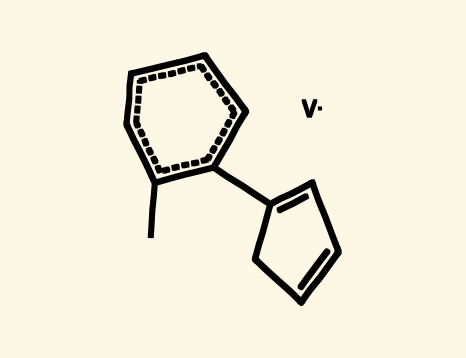 Cc1ccccc1C1=CC=CC1.[V]